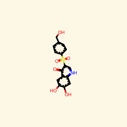 O=c1c(S(=O)(=O)c2ccc(CO)cc2)c[nH]c2cc(O)c(O)cc12